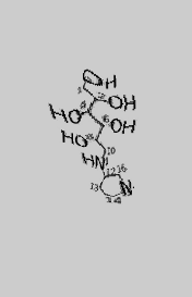 OC[C@@H](O)[C@H](O)[C@H](O)[C@@H](O)CNC1CC[N]C1